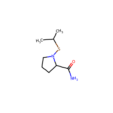 CC(C)SN1CCCC1C(N)=O